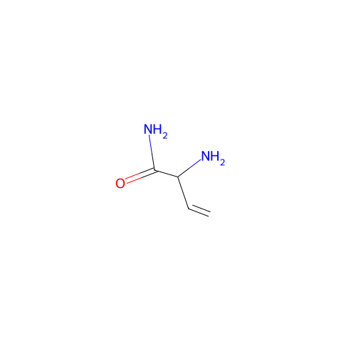 C=CC(N)C(N)=O